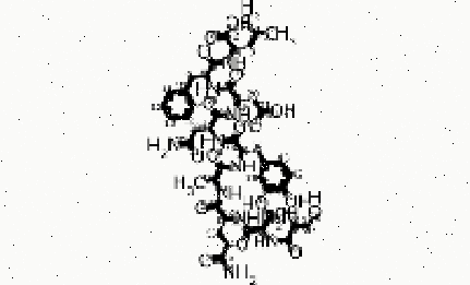 CC(C)C[C@H](NC(=O)[C@H](Cc1ccccc1)NC(=O)[C@H](CC(=O)O)NC(=O)[C@H](CC(N)=O)NC(=O)[C@H](Cc1ccc(O)cc1)NC(=O)[C@H](C)NC(=O)[C@H](CCC(N)=O)NC(=O)[C@@H](NC(=O)[C@@H](N)CO)[C@@H](C)O)C(=O)O